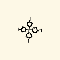 Clc1ccc(C(c2ccc(I)cc2)(c2ccc(I)cc2)c2ccc(I)cc2)cc1